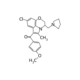 COc1ccc(C(=O)c2c(C)n3c4c(cc(Cl)cc24)OCC3CN2CCCC2)cc1